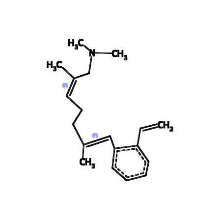 C=Cc1ccccc1/C=C(\C)CC/C=C(/C)CN(C)C